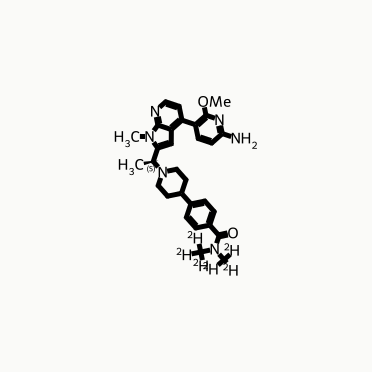 [2H]C([2H])([2H])N(C(=O)c1ccc(C2CCN([C@@H](C)c3cc4c(-c5ccc(N)nc5OC)ccnc4n3C)CC2)cc1)C([2H])([2H])[2H]